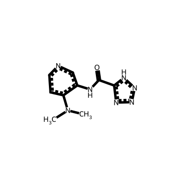 CN(C)c1ccncc1NC(=O)c1nnn[nH]1